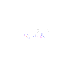 CC(NC(=O)C1C[C@H](Oc2ccccc2)CN1)C(=O)NCc1ccc(C(=N)NC(=O)O)cc1